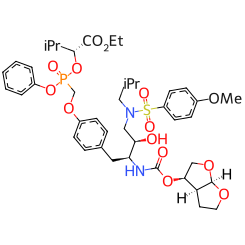 CCOC(=O)[C@H](OP(=O)(COc1ccc(C[C@H](NC(=O)O[C@H]2CO[C@H]3OCC[C@H]32)[C@H](O)CN(CC(C)C)S(=O)(=O)c2ccc(OC)cc2)cc1)Oc1ccccc1)C(C)C